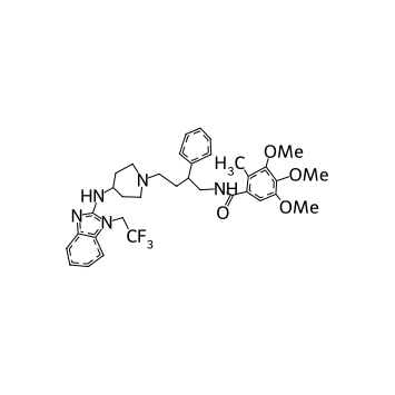 COc1cc(C(=O)NCC(CCN2CCC(Nc3nc4ccccc4n3CC(F)(F)F)CC2)c2ccccc2)c(C)c(OC)c1OC